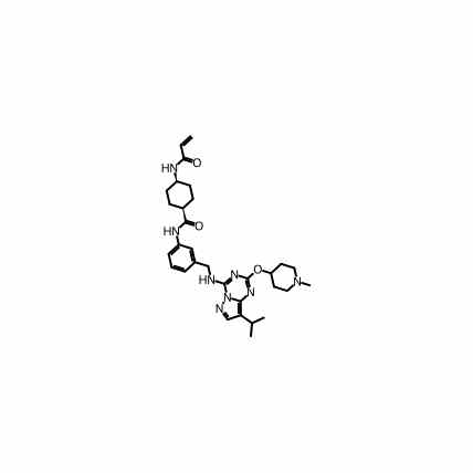 C=CC(=O)N[C@H]1CC[C@@H](C(=O)Nc2cccc(CNc3nc(OC4CCN(C)CC4)nc4c(C(C)C)cnn34)c2)CC1